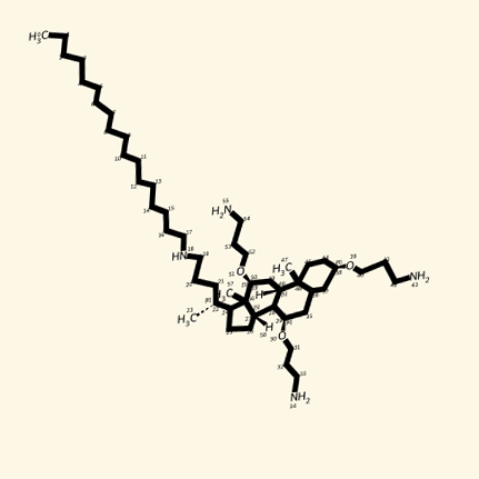 CCCCCCCCCCCCCCCCCCNCCC[C@@H](C)C1CC[C@H]2C3[C@H](OCCCN)CC4C[C@H](OCCCN)CCC4(C)[C@H]3C[C@H](OCCCN)C12C